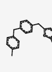 Cc1ccc(Cc2ccc(Cc3ccc(C)o3)cc2)cc1